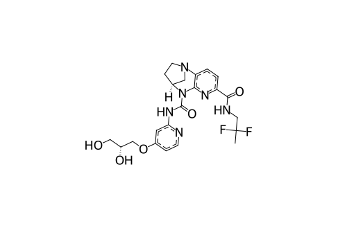 CC(F)(F)CNC(=O)c1ccc2c(n1)N(C(=O)Nc1cc(OC[C@H](O)CO)ccn1)[C@H]1CCN2C1